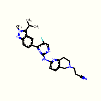 CC(C)c1c2cc(-c3nc(Nc4ccc5c(n4)CCN(CCC#N)C5)ncc3F)ccc2nn1C